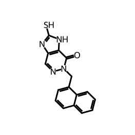 O=c1c2[nH]c(S)nc2cnn1Cc1cccc2ccccc12